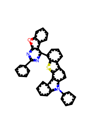 c1ccc(-c2nc(-c3cccc4c3sc3c4ccc4c3c3ccccc3n4-c3ccccc3)c3c(n2)oc2ccccc23)cc1